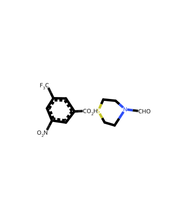 O=C(O)c1cc([N+](=O)[O-])cc(C(F)(F)F)c1.O=CN1CCSCC1